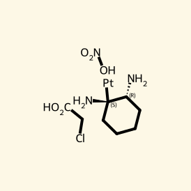 N[C@@H]1CCCC[C@]1(N)[Pt].O=C(O)CCl.O=[N+]([O-])O